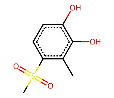 Cc1c(S(C)(=O)=O)ccc(O)c1O